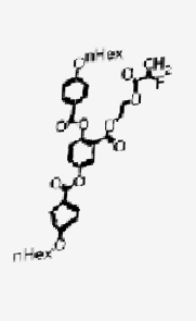 C=C(F)C(=O)OCCOC(=O)c1cc(OC(=O)c2ccc(OCCCCCC)cc2)ccc1OC(=O)c1ccc(OCCCCCC)cc1